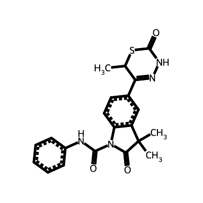 CC1SC(=O)NN=C1c1ccc2c(c1)C(C)(C)C(=O)N2C(=O)Nc1ccccc1